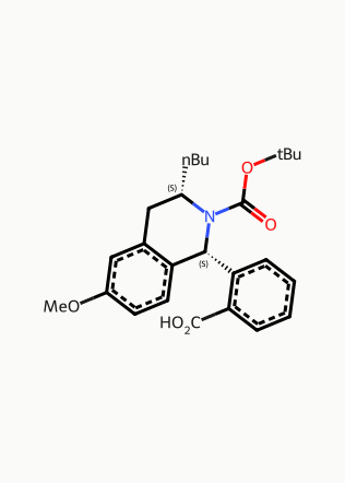 CCCC[C@H]1Cc2cc(OC)ccc2[C@@H](c2ccccc2C(=O)O)N1C(=O)OC(C)(C)C